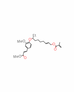 C=C(C)C(=O)OCC=CCCCCC(CC)Oc1ccc(C=CC(=O)OC)cc1OC